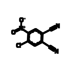 N#Cc1cc(Cl)c([N+](=O)[O-])cc1C#N